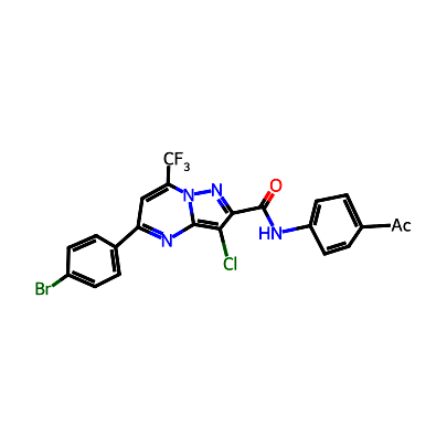 CC(=O)c1ccc(NC(=O)c2nn3c(C(F)(F)F)cc(-c4ccc(Br)cc4)nc3c2Cl)cc1